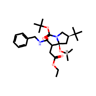 CCOC(=O)CC(C(=O)NCc1ccccc1)[C@@]1(O[SiH](C)C)C[C@H](C(C)(C)C)CN1C(=O)OC(C)(C)C